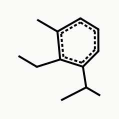 CCc1c(C)cccc1C(C)C